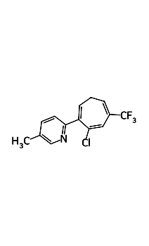 Cc1ccc(C2=CCC=C(C(F)(F)F)C=C2Cl)nc1